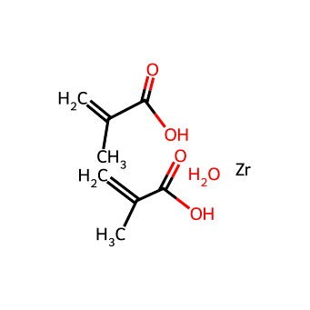 C=C(C)C(=O)O.C=C(C)C(=O)O.O.[Zr]